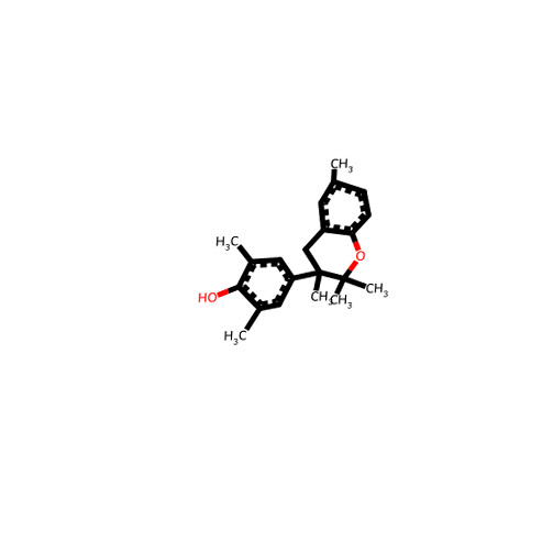 Cc1ccc2c(c1)CC(C)(c1cc(C)c(O)c(C)c1)C(C)(C)O2